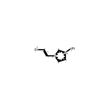 CC/C=C/[n+]1ccn(CCC)c1